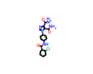 NC(=O)c1ncn(-c2ccc(NC(=O)c3ccccc3Cl)cc2)c1C(N)=O